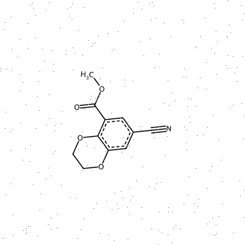 COC(=O)c1cc(C#N)cc2c1OCCO2